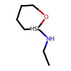 CCN[SiH]1CCCCO1